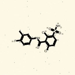 Cc1cc(NC(=O)c2c(Cl)ccc(S(N)(=O)=O)c2Cl)ccc1F